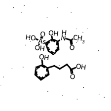 CC(=O)Nc1cccc([As](=O)(O)O)c1O.O=C(O)CCCc1ccccc1O